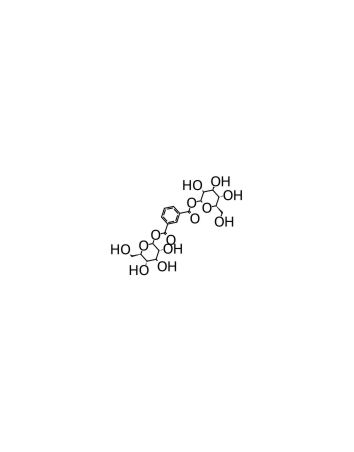 O=C(OC1O[C@H](CO)[C@@H](O)[C@H](O)[C@H]1O)c1cccc(C(=O)OC2O[C@H](CO)[C@@H](O)[C@H](O)[C@H]2O)c1